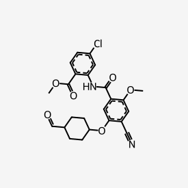 COC(=O)c1ccc(Cl)cc1NC(=O)c1cc(OC2CCC(C=O)CC2)c(C#N)cc1OC